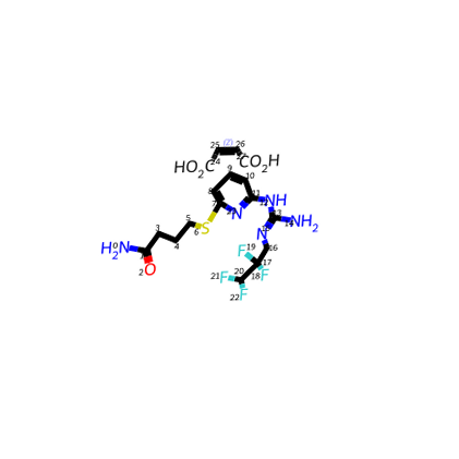 NC(=O)CCCSc1cccc(NC(N)=NCC(F)(F)C(F)F)n1.O=C(O)/C=C\C(=O)O